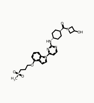 CS(=O)(=O)CCCOc1cccc2c1ccn2-c1ccnc(N[C@H]2CC[C@H](C(=O)N3CC(O)C3)CC2)n1